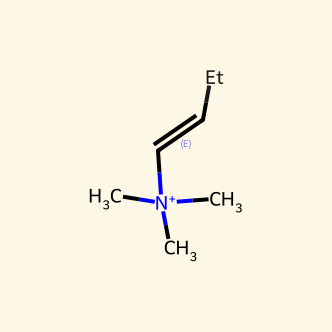 CC/C=C/[N+](C)(C)C